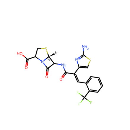 Nc1nc(C(=Cc2ccccc2C(F)(F)F)C(=O)NC2C(=O)N3C(C(=O)O)CS[C@H]23)cs1